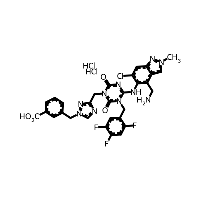 Cl.Cl.Cn1cc2c(CN)c(Nc3nc(=O)n(Cc4ncn(Cc5cccc(C(=O)O)c5)n4)c(=O)n3Cc3cc(F)c(F)cc3F)c(Cl)cc2n1